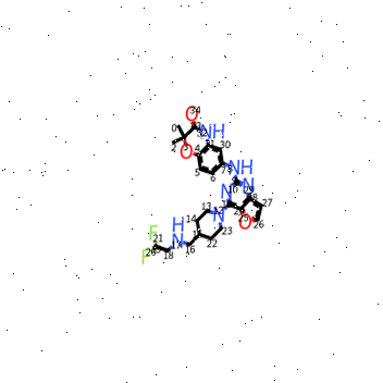 CC1(C)Oc2ccc(Nc3nc(N4CCC(CNCC(F)F)CC4)c4occc4n3)cc2NC1=O